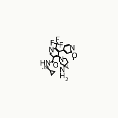 COc1cc(-c2c(C(F)(F)F)ncc(C(=O)N[C@@H](C)C3CC3)c2N2CC[C@](C)(N)C2)ccn1